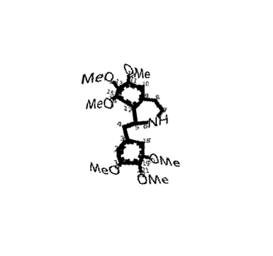 COc1cc(CC2NCCc3cc(OC)c(OC)c(OC)c32)cc(OC)c1OC